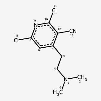 CN(C)CCc1cc(Cl)nc(Cl)c1C#N